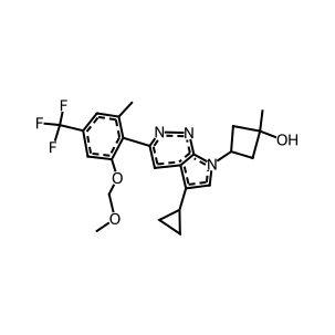 COCOc1cc(C(F)(F)F)cc(C)c1-c1cc2c(C3CC3)cn(C3CC(C)(O)C3)c2nn1